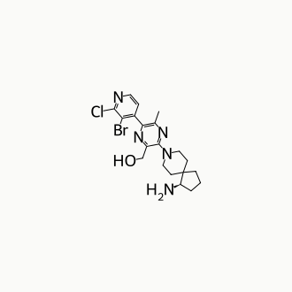 Cc1nc(N2CCC3(CCC[C@H]3N)CC2)c(CO)nc1-c1ccnc(Cl)c1Br